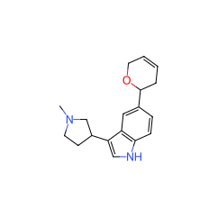 CN1CCC(c2c[nH]c3ccc(C4CC=CCO4)cc23)C1